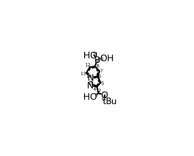 CC(C)(C)OC(O)c1cc2cc(B(O)O)ccn2n1